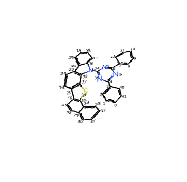 c1ccc(-c2nc(-c3ccccc3)nc(-n3c4ccccc4c4ccc5c6ccc7ccccc7c6sc5c43)n2)cc1